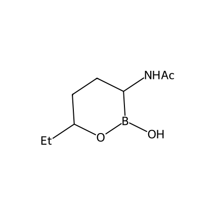 CCC1CCC(NC(C)=O)B(O)O1